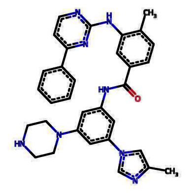 Cc1cn(-c2cc(NC(=O)c3ccc(C)c(Nc4nccc(-c5ccccc5)n4)c3)cc(N3CCNCC3)c2)cn1